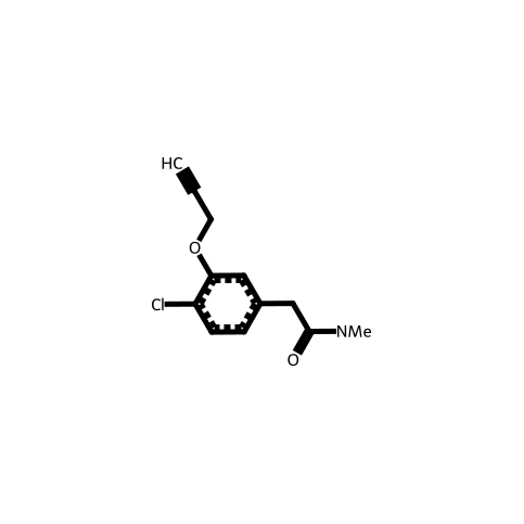 C#CCOc1cc(CC(=O)NC)ccc1Cl